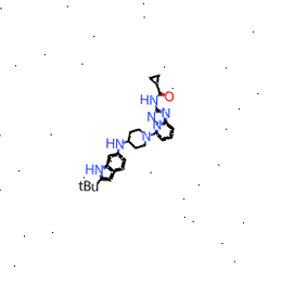 CC(C)(C)c1cc2ccc(NC3CCN(c4cccc5nc(NC(=O)C6CC6)nn45)CC3)cc2[nH]1